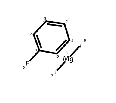 Fc1c[c]ccc1.[I][Mg][I]